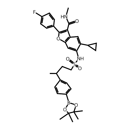 CNC(=O)c1c(-c2ccc(F)cc2)oc2cc(NS(=O)(=O)CCC(C)c3ccc(B4OC(C)(C)C(C)(C)O4)cc3)c(C3CC3)cc12